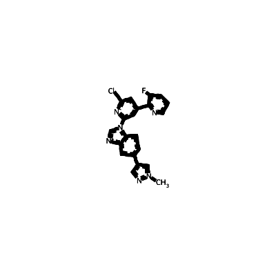 Cn1cc(-c2ccc3c(c2)ncn3-c2cc(-c3ncccc3F)cc(Cl)n2)cn1